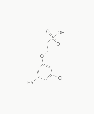 Cc1cc(S)cc(OCCS(=O)(=O)O)c1